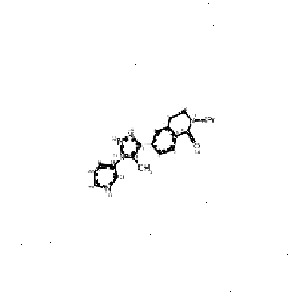 Cc1c(-c2ccc3c(c2)CCN(C(C)C)C3=O)nnn1-c1cccnc1